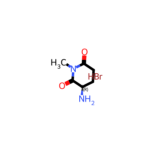 Br.CN1C(=O)CC[C@@H](N)C1=O